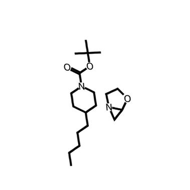 C1CN2CC2O1.CCCCCC1CCN(C(=O)OC(C)(C)C)CC1